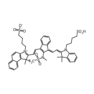 CN(C1=C(/C=C/C2=[N+](CCCCS(=O)(=O)[O-])c3ccc4ccccc4c3C2(C)C)c2ccccc2/C1=C\C=C1\N(CCCCS(=O)(=O)O)c2ccccc2C1(C)C)S(=O)(=O)C(F)(F)F